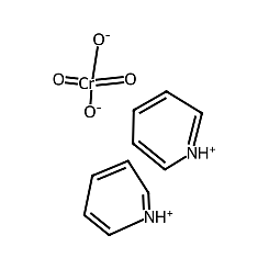 [O]=[Cr](=[O])([O-])[O-].c1cc[nH+]cc1.c1cc[nH+]cc1